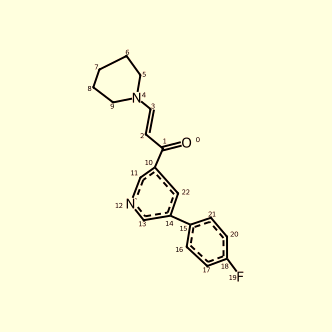 O=C(C=CN1CCCCC1)c1cncc(-c2ccc(F)cc2)c1